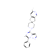 Cc1cc2c(cn1)CC1(CCN(c3nc(C)c(-c4ccccc4)n4nccc34)CC1)C2